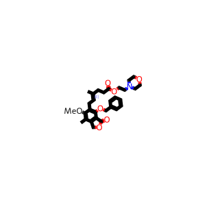 COc1c(C)c2c(c(OCc3ccccc3)c1C/C=C(\C)CCC(=O)OCCN1CCOCC1)C(=O)OC2